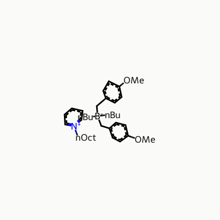 CCCCCCCC[n+]1ccccc1.CCCC[B-](CCCC)(Cc1ccc(OC)cc1)Cc1ccc(OC)cc1